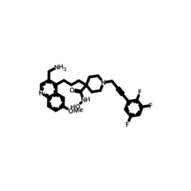 COc1ccc2ncc(CN)c(CCCC3(C(=O)NO)CCN(CC#Cc4cc(F)cc(F)c4F)CC3)c2c1